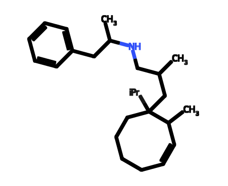 CC(CNC(C)Cc1ccccc1)CC1(C(C)C)CCCC/C=C\C1C